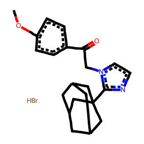 Br.COc1ccc(C(=O)Cn2ccnc2C23CC4CC(CC(C4)C2)C3)cc1